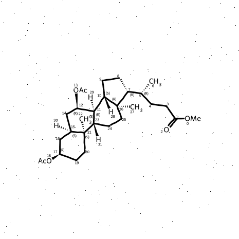 COC(=O)CC[C@@H](C)[C@H]1CC[C@H]2[C@@H]3[C@H](OC(C)=O)C[C@@H]4C[C@H](OC(C)=O)CC[C@]4(C)[C@H]3CC[C@]12C